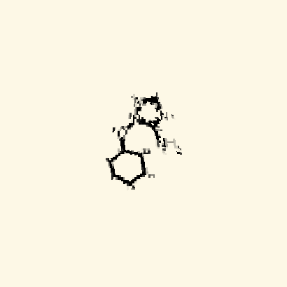 Nc1ncnn1OC1CCCCC1